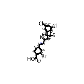 O=C(O)c1ccc(/C=C/C2=NOC(c3cc(Cl)cc(Cl)c3)(C(F)(F)F)C2)cc1Br